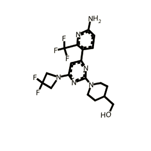 Nc1ccc(-c2cc(N3CC(F)(F)C3)nc(N3CCC(CO)CC3)n2)c(C(F)(F)F)n1